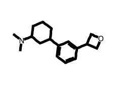 CN(C)C1CCCC(c2cccc(C3COC3)c2)C1